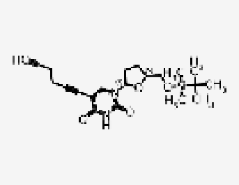 C#CCCC#Cc1cn([C@H]2CC[C@@H](CO[Si](C)(C)C(C)(C)C)O2)c(=O)[nH]c1=O